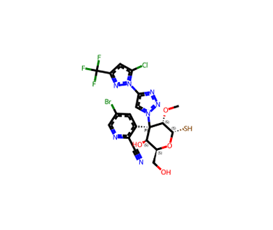 CO[C@@H]1[C@H](S)O[C@@H](CO)[C@@H](O)[C@@]1(c1cc(Br)cnc1C#N)n1cc(-n2nc(C(F)(F)F)cc2Cl)nn1